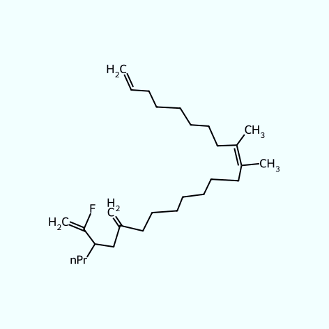 C=CCCCCCC/C(C)=C(/C)CCCCCCCC(=C)CC(CCC)C(=C)F